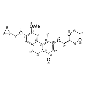 COc1cc2c(cc1OCC1CC1)CCn1c-2c(C)c(OC[C@@H]2COCCO2)cc1=O